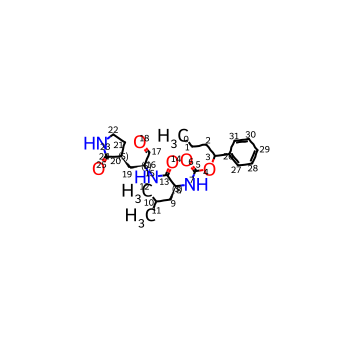 CCCC(OC(=O)N[C@@H](CC(C)C)C(=O)N[C@H](C=O)C[C@@H]1CCNC1=O)c1ccccc1